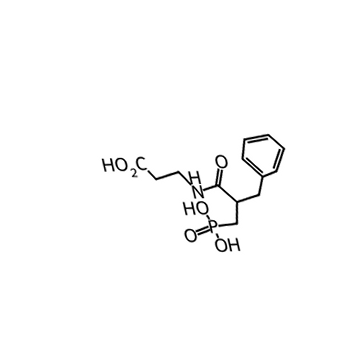 O=C(O)CCNC(=O)C(Cc1ccccc1)CP(=O)(O)O